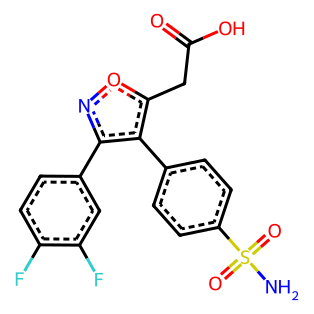 NS(=O)(=O)c1ccc(-c2c(-c3ccc(F)c(F)c3)noc2CC(=O)O)cc1